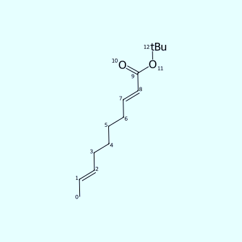 C/C=C/CCCC/C=C/C(=O)OC(C)(C)C